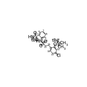 CC(C)(C)NS(=O)(=O)c1ccccc1NS(=O)(=O)CCC1=CCC(Cl)C=C1O[Si](C)(C)C(C)(C)C